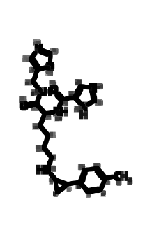 Cc1ccc(C2CC2NCCCCC(NC(=O)c2cnc[nH]2)C(=O)NCc2cnco2)cc1